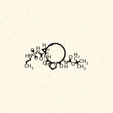 CCCNS(=O)(=O)NC(=O)[C@@]12C[C@H]1/C=C\CCCCC[C@H](NC(=O)OC(C)(C)C)C(=O)N1CCC[C@H]1C(=O)N2